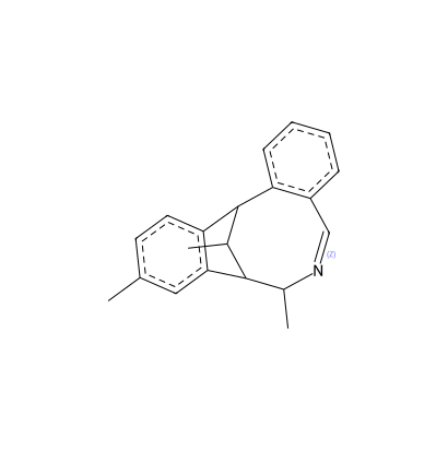 Cc1ccc2c(c1)C1C(C)/N=C\c3ccccc3C2C1C